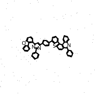 c1ccc(-c2nc(-c3ccc(-c4cccc5c4sc4ccc6c(-c7ccccc7)nc7ccccc7c6c45)cc3)cc(-c3cccc4oc5ccccc5c34)n2)cc1